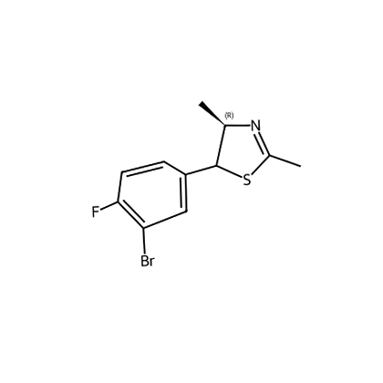 CC1=N[C@H](C)C(c2ccc(F)c(Br)c2)S1